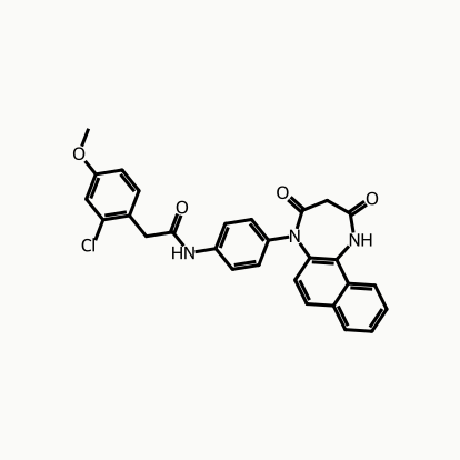 COc1ccc(CC(=O)Nc2ccc(N3C(=O)CC(=O)Nc4c3ccc3ccccc43)cc2)c(Cl)c1